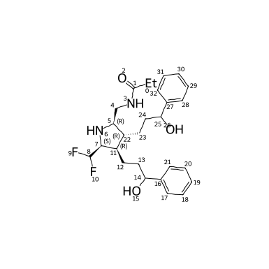 CCC(=O)NC[C@@H]1N[C@H](C(F)F)[C@H](CCC(O)c2ccccc2)[C@H]1CCC(O)c1ccccc1